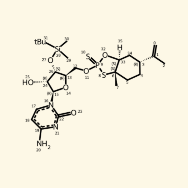 C=C(C)[C@@H]1CC[C@]2(C)SP(=S)(OC[C@H]3O[C@@H](n4ccc(N)nc4=O)[C@H](O)[C@@H]3O[Si](C)(C)C(C)(C)C)O[C@H]2C1